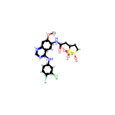 CCOc1cc2ncnc(Nc3ccc(F)c(Cl)c3)c2cc1NC(=O)CC1CC[S+]([O-])S1(=O)=O